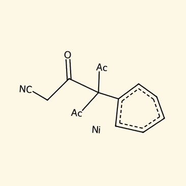 CC(=O)C(C(C)=O)(C(=O)CC#N)c1ccccc1.[Ni]